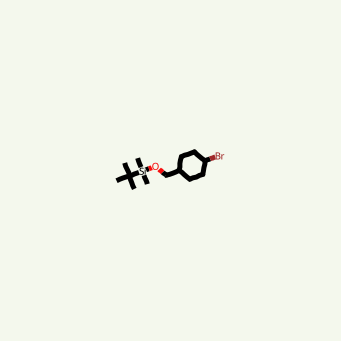 CC(C)(C)[Si](C)(C)OCC1CCC(Br)CC1